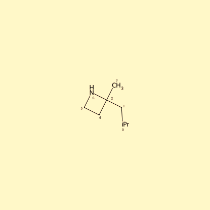 CC(C)CC1(C)CCN1